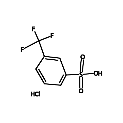 Cl.O=S(=O)(O)c1cccc(C(F)(F)F)c1